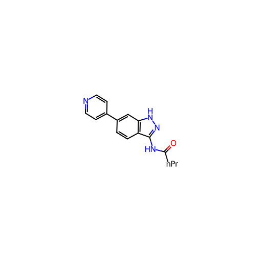 CCCC(=O)Nc1n[nH]c2cc(-c3ccncc3)ccc12